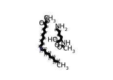 CC(=O)NC(CCCCN)C(=O)O.CCCCCCCC/C=C\CCCCCCCC(=O)OC